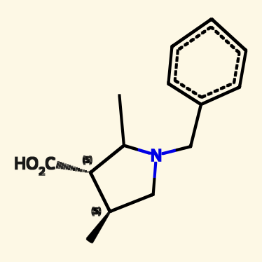 CC1[C@@H](C(=O)O)[C@H](C)CN1Cc1ccccc1